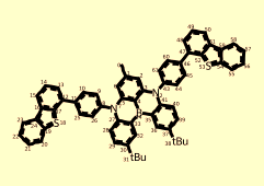 Cc1cc2c3c(c1)N(c1ccc(-c4cccc5c4sc4ccccc45)cc1)c1ccc(C(C)(C)C)cc1B3c1cc(C(C)(C)C)ccc1N2c1ccc(-c2cccc3c2sc2ccccc23)cc1